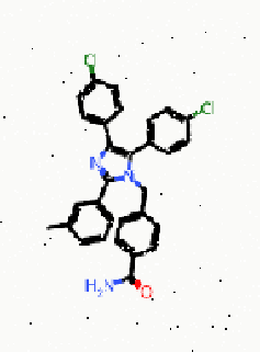 Cc1cccc(-c2nc(-c3ccc(Cl)cc3)c(-c3ccc(Cl)cc3)n2Cc2ccc(C(N)=O)cc2)c1